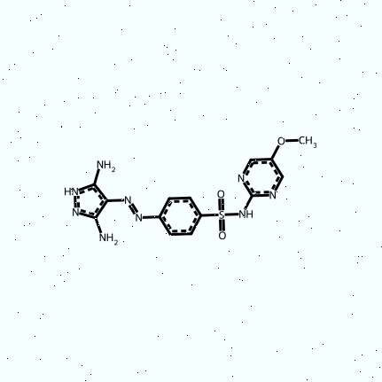 COc1cnc(NS(=O)(=O)c2ccc(N=Nc3c(N)n[nH]c3N)cc2)nc1